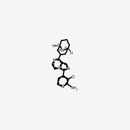 Nc1nccc(-c2ncc3c(C4C[C@H]5CCC[C@@H](C4)N5)nccn23)c1Cl